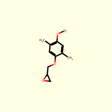 [CH2]COc1cc(C)c(OCC2CO2)cc1C